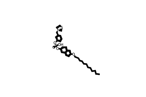 CCCCCCCCCCCCOc1ccc2cc(OP(=O)(O)Oc3cccc(C[n+]4ccsc4)c3)ccc2c1